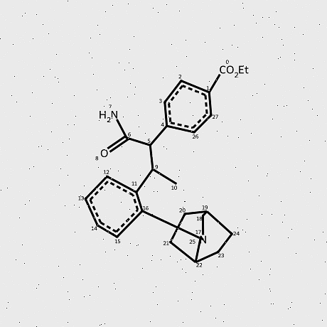 CCOC(=O)c1ccc(C(C(N)=O)C(C)c2ccccc2N2CC3CCC(CC3)C2)cc1